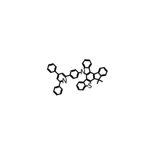 CC1(C)c2ccccc2-c2c1c1sc3ccccc3c1c1c2c2ccccc2n1-c1ccc(-c2cc(-c3ccccc3)cc(-c3ccccc3)n2)cc1